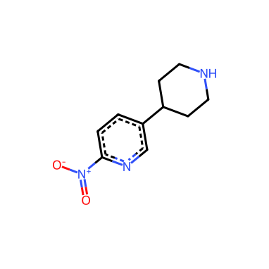 O=[N+]([O-])c1ccc(C2CCNCC2)cn1